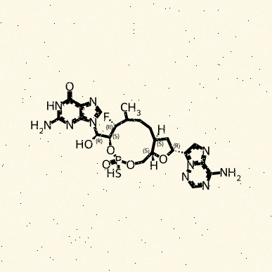 CC1CC[C@H]2C[C@H](c3cnc4c(N)ncnn34)O[C@@H]2COP(=O)(S)O[C@@H]([C@@H](O)n2cnc3c(=O)[nH]c(N)nc32)[C@@H]1F